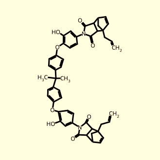 C=CCC12C=CC(C1)C1C(=O)N(c3ccc(Oc4ccc(C(C)(C)c5ccc(Oc6ccc(N7C(=O)C8C9C=CC(CC=C)(C9)C8C7=O)cc6O)cc5)cc4)c(O)c3)C(=O)C12